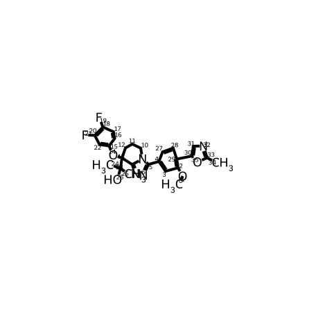 COc1cc(-c2nnc3n2CCCC3(Oc2ccc(F)c(F)c2)C(C)(C)O)ccc1-c1cnc(C)o1